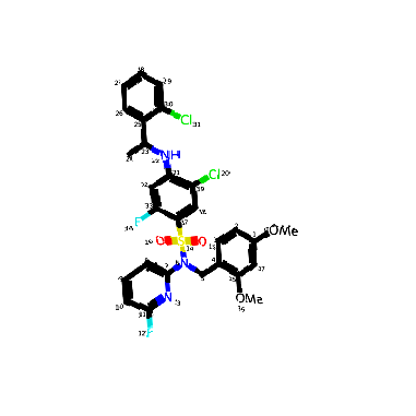 COc1ccc(CN(c2cccc(F)n2)S(=O)(=O)c2cc(Cl)c(NC(C)c3ccccc3Cl)cc2F)c(OC)c1